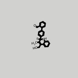 CC1=C(CO)c2ccccc2NC1(F)c1ccc(-c2ccccc2C=O)cc1